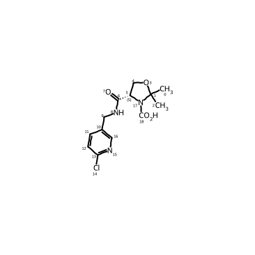 CC1(C)OC[C@@H](C(=O)NCc2ccc(Cl)nc2)N1C(=O)O